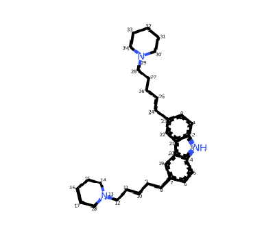 c1cc2[nH]c3ccc(CCCCCN4CCCCC4)cc3c2cc1CCCCCN1CCCCC1